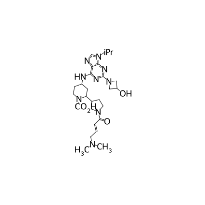 CC(C)n1cnc2c(NC3CCN(C(=O)O)C(C4CCN(C(=O)/C=C/CN(C)C)C4)C3)nc(N3CC(O)C3)nc21